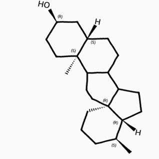 C[C@H]1CCC[C@]23CCC4C(CC[C@H]5C[C@H](O)CC[C@]45C)C2CC[C@H]13